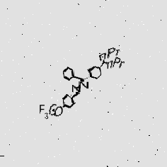 CCCC(CCC)[C@H]1CC[C@H](C(=NN=Cc2ccc(OC(F)(F)F)cc2)c2ccccc2)CC1